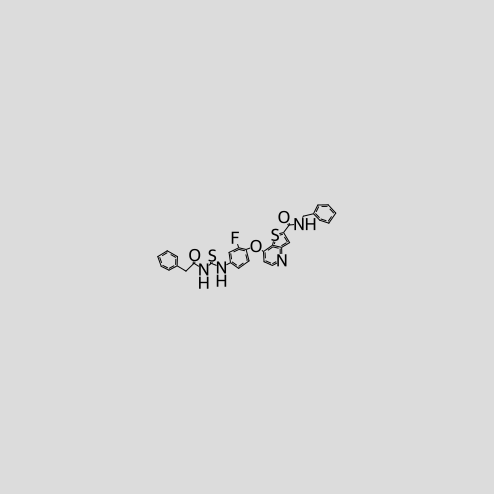 O=C(Cc1ccccc1)NC(=S)Nc1ccc(Oc2ccnc3cc(C(=O)NCc4ccccc4)sc23)c(F)c1